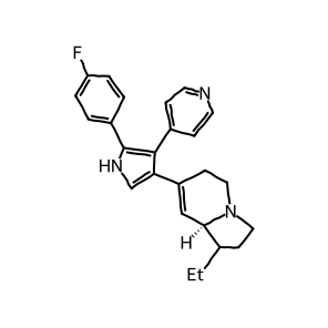 CCC1CCN2CCC(c3c[nH]c(-c4ccc(F)cc4)c3-c3ccncc3)=C[C@H]12